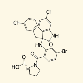 O=C(O)[C@H]1CCCN1C(=O)c1ccc(Br)cc1NC1(Cc2cccc(Cl)c2)C(=O)Nc2cc(Cl)ccc21